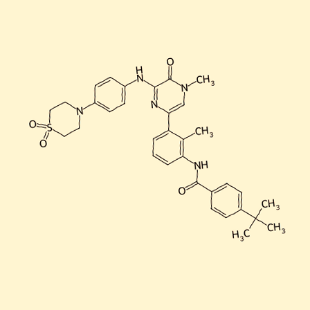 Cc1c(NC(=O)c2ccc(C(C)(C)C)cc2)cccc1-c1cn(C)c(=O)c(Nc2ccc(N3CCS(=O)(=O)CC3)cc2)n1